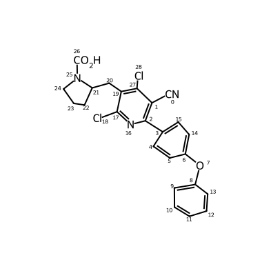 N#Cc1c(-c2ccc(Oc3ccccc3)cc2)nc(Cl)c(CC2CCCN2C(=O)O)c1Cl